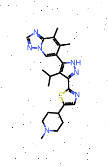 Cc1c(-c2[nH]nc(-c3ncc(C4CCN(C)CC4)s3)c2C(C)C)cn2ncnc2c1C